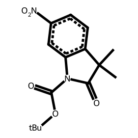 CC(C)(C)OC(=O)N1C(=O)C(C)(C)c2ccc([N+](=O)[O-])cc21